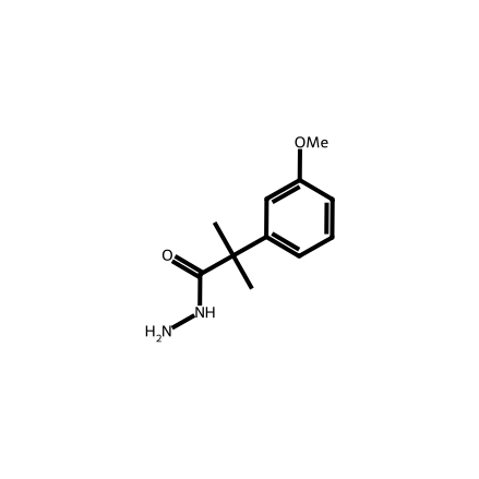 COc1cccc(C(C)(C)C(=O)NN)c1